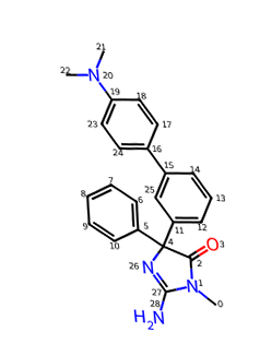 CN1C(=O)C(c2ccccc2)(c2cccc(-c3ccc(N(C)C)cc3)c2)N=C1N